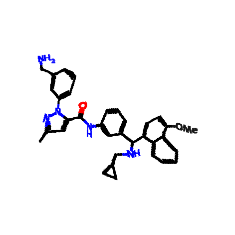 COc1ccc(C(NCC2CC2)c2cccc(NC(=O)c3cc(C)nn3-c3cccc(CN)c3)c2)c2ccccc12